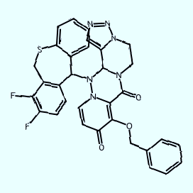 O=C1c2c(OCc3ccccc3)c(=O)ccn2N(C2c3ccccc3SCc3c2ccc(F)c3F)C2c3cnnn3CCN12